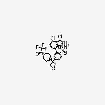 NS(=O)(=O)c1ccc(C2(N3CCN(C(=O)C(F)(F)F)CC3)COC2)cc1-c1ccc(Cl)c2c(Cl)c[nH]c12